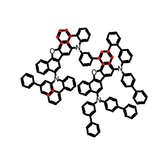 c1ccc(-c2ccc(N(c3cccc(-c4ccccc4)c3)c3cc4c5cc(N(c6ccc(-c7ccccc7)cc6)c6cccc(-c7ccccc7-c7cccc(-c8cccc(N(c9ccccc9-c9ccccc9)c9cc%10c%11cc(N(c%12cccc(-c%13ccccc%13)c%12)c%12ccccc%12-c%12ccccc%12)c%12ccccc%12c%11oc%10c%10ccccc9%10)c8)c7)c6)c6ccccc6c5oc4c4ccccc34)cc2)cc1